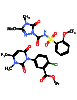 CC(C)OC(=O)c1cc(-n2c(=O)cc(C(F)(F)F)n(C)c2=O)ccc1Cl.COc1nn(C(=O)NS(=O)(=O)c2ccccc2OC(F)(F)F)c(=O)n1C